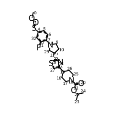 COOSc1ccc(N2CC[C@H](c3nc(C4CCN(C(=O)OC(C)C)CC4)cs3)C2)c(F)c1